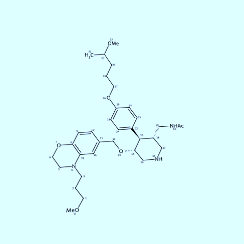 COCCCN1CCOc2ccc(CO[C@H]3CNC[C@@H](CNC(C)=O)[C@@H]3c3ccc(OCCCC(C)OC)cc3)cc21